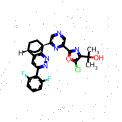 CC(C)(O)c1nc(-c2cncc([C@]34CC[C@H](CC3)c3cc(-c5c(F)cccc5F)nnc34)n2)oc1Cl